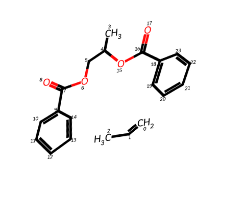 C=CC.CC(COC(=O)c1ccccc1)OC(=O)c1ccccc1